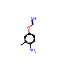 Cc1cc(OC=N)ccc1N